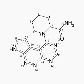 NC(=O)C1[CH]CCCN1c1ncnc2nnc3[nH]ccc3c12